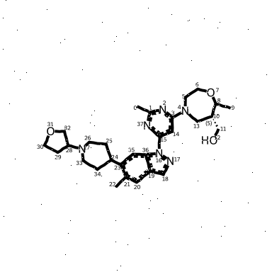 Cc1nc(N2CCOC(C)[C@H](CO)C2)cc(-n2ncc3cc(C)c(C4CCN(C5CCOC5)CC4)cc32)n1